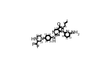 C=CCn1c(=O)c2cnc(Nc3ccc(N4CCNC(C(F)F)C4)cc3)nc2n1-c1cccc(N)n1